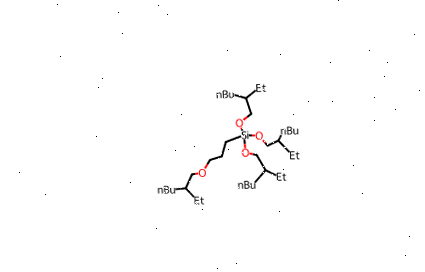 CCCCC(CC)COCCC[Si](OCC(CC)CCCC)(OCC(CC)CCCC)OCC(CC)CCCC